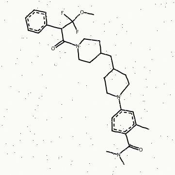 COC(F)(F)C(C(=O)N1CCC(CC2CCN(c3ccc(C(=O)N(C)C)c(C)c3)CC2)CC1)c1ccccc1